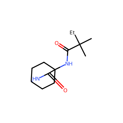 CCC(C)(C)C(=O)NC12CCC(CC1)NC2=O